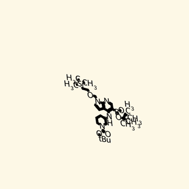 CC(C)(C)OC(=O)N1CCC[C@@H](Nc2c(B3OC(C)(C)C(C)(C)O3)cnc3c2ccn3COCC[Si](C)(C)C)C1